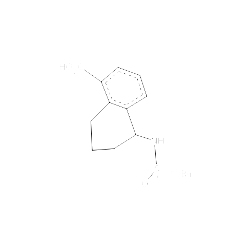 CC(C)(C)[S@+]([O-])NC1CCCc2c(C(=O)O)cccc21